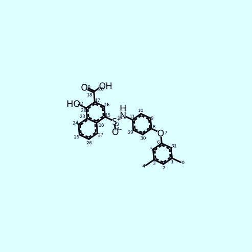 Cc1cc(C)cc(Oc2ccc(N[S+]([O-])c3cc(C(=O)O)c(O)c4ccccc34)cc2)c1